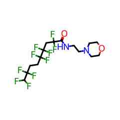 O=C(NCCN1CCOCC1)C(F)(F)CC(F)(F)C(F)(F)CCC(F)(F)C(F)F